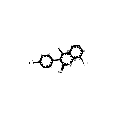 Cc1c(-c2ccc(O)cc2)c(=O)oc2c(O)cccc12